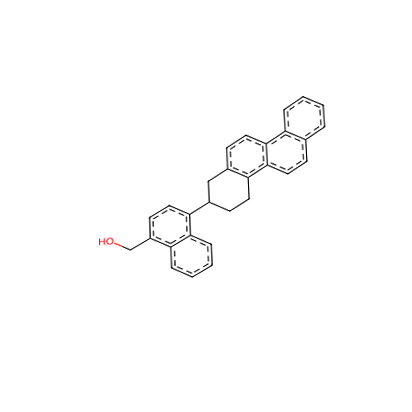 OCc1ccc(C2CCc3c(ccc4c3ccc3ccccc34)C2)c2ccccc12